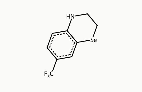 FC(F)(F)c1ccc2c(c1)[Se]CCN2